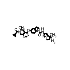 C[C@H]1Cc2c(ncnc2Oc2ccc3c(ccn3C(=O)Nc3cc4n(n3)CCC4(C)C)c2)CN1C(=O)C1CC1